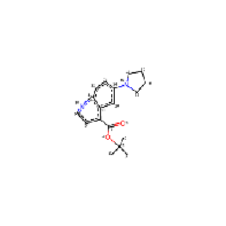 CC(C)(C)OC(=O)c1ccnc2ccc(N3CCCC3)cc12